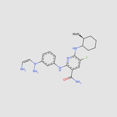 CN[C@H]1CCCCC1Nc1nc(Nc2cccc(N(N)/C=C\N)c2)c(C(N)=O)cc1F